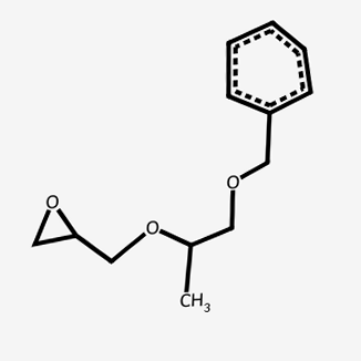 CC(COCc1ccccc1)OCC1CO1